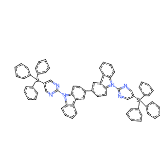 c1ccc([Si](c2ccccc2)(c2ccccc2)c2cnc(-n3c4ccccc4c4cc(-c5ccc6c(c5)c5ccccc5n6-c5ncc([Si](c6ccccc6)(c6ccccc6)c6ccccc6)cn5)ccc43)nc2)cc1